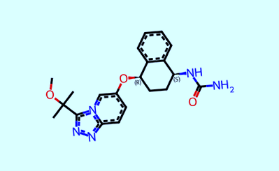 COC(C)(C)c1nnc2ccc(O[C@@H]3CC[C@H](NC(N)=O)c4ccccc43)cn12